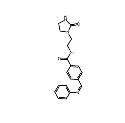 O=C(NCCN1CCNC1=O)c1ccc(/C=N\c2ccccc2)cc1